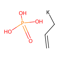 C=C[CH2][K].O=P(O)(O)O